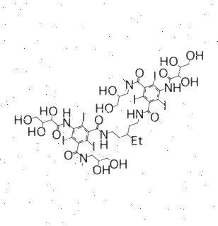 CCC(CCNC(=O)c1c(I)c(NC(=O)C(O)C(O)CO)c(I)c(C(=O)N(C)CC(O)CO)c1I)CCNC(=O)c1c(I)c(NC(=O)C(O)C(O)CO)c(I)c(C(=O)N(C)CC(O)CO)c1I